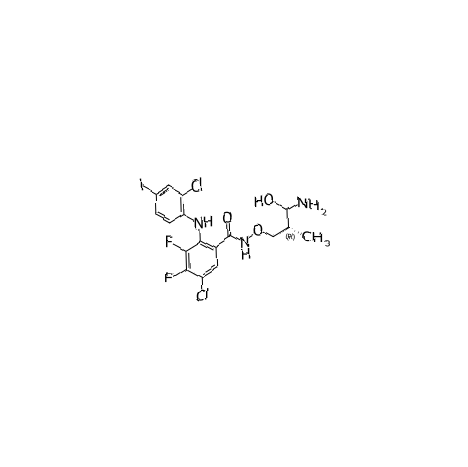 C[C@H](CONC(=O)c1cc(Cl)c(F)c(F)c1Nc1ccc(I)cc1Cl)C(N)O